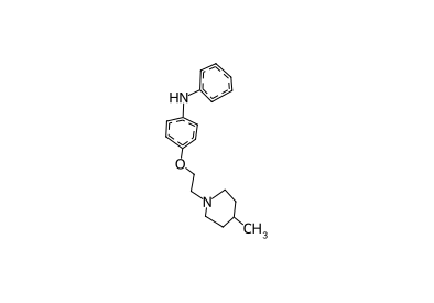 CC1CCN(CCOc2ccc(Nc3ccccc3)cc2)CC1